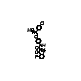 O=C(NC(=O)c1c(F)cccc1F)Nc1ccc(OCC(=NO)c2ccc(Cl)cc2)cc1